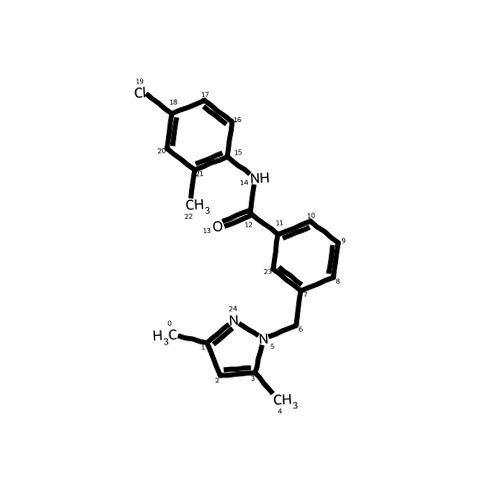 Cc1cc(C)n(Cc2cccc(C(=O)Nc3ccc(Cl)cc3C)c2)n1